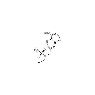 CC(=O)CN(Cc1ccc2c(OCC(C)C)ccnc2c1)S(C)(=O)=O